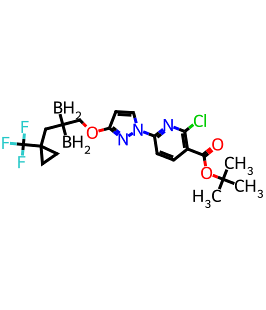 BC(B)(COc1ccn(-c2ccc(C(=O)OC(C)(C)C)c(Cl)n2)n1)CC1(C(F)(F)F)CC1